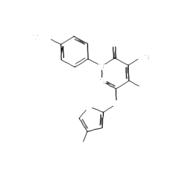 COc1ccc(-n2nc(Sc3cc(C)cs3)c(C)c(C#N)c2=O)cc1